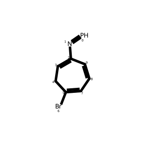 P=NC1=CCC(Br)=CC=C1